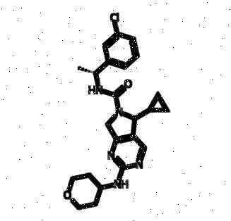 C[C@@H](NC(=O)N1Cc2nc(NC3CCOCC3)ncc2C1C1CC1)c1cccc(Cl)c1